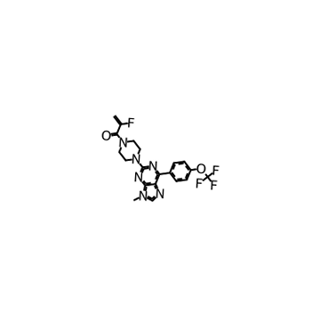 C=C(F)C(=O)N1CCN(c2nc(-c3ccc(OC(F)(F)F)cc3)c3ncn(C)c3n2)CC1